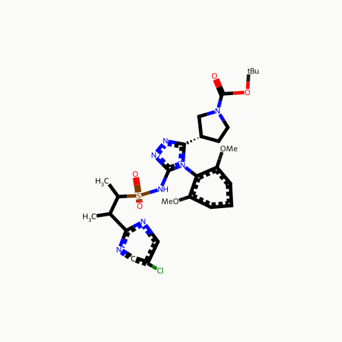 COc1cccc(OC)c1-n1c(NS(=O)(=O)C(C)C(C)c2ncc(Cl)cn2)nnc1[C@H]1CCN(C(=O)OC(C)(C)C)C1